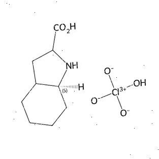 O=C(O)C1CC2CCCC[C@@H]2N1.[O-][Cl+3]([O-])([O-])O